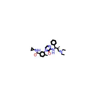 CCN(CC)C[C@H](C)[C@@H](Nc1nccn(-c2cc(C(=O)NC3CC3)ccc2C)c1=O)c1ccccc1